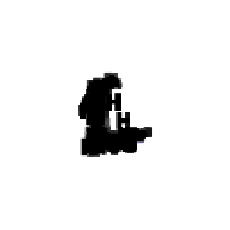 C/C=C/C(=O)Nc1cccc(-c2cc(-c3ccc(C(=O)Nc4cc(C5CC5)ccn4)c(F)c3)cc3cncnc23)c1